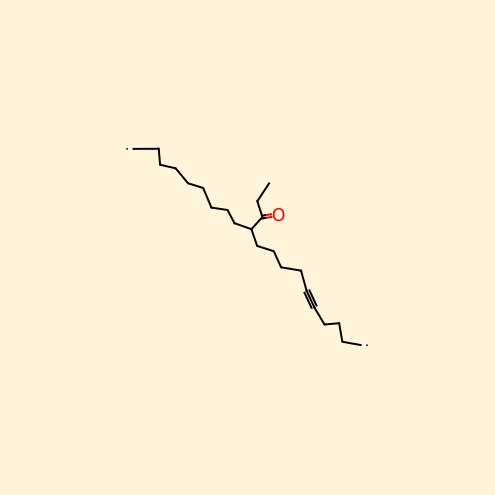 [CH2]CCCC#CCCCCC(CCCCCCCC[CH2])C(=O)CC